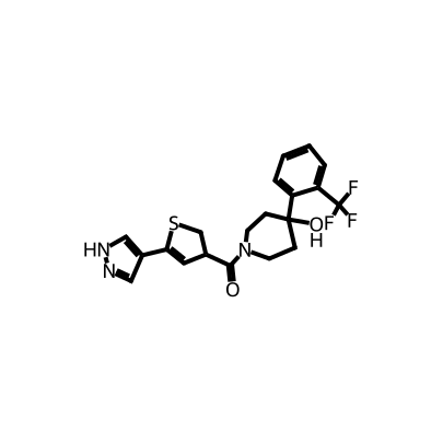 O=C(C1C=C(c2cn[nH]c2)SC1)N1CCC(O)(c2ccccc2C(F)(F)F)CC1